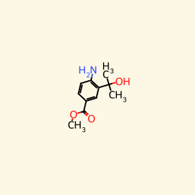 COC(=O)c1ccc(N)c(C(C)(C)O)c1